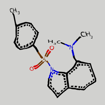 Cc1ccc(S(=O)(=O)n2ccc3cccc(N(C)C)c32)cc1